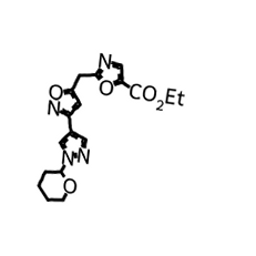 CCOC(=O)c1cnc(Cc2cc(-c3cnn(C4CCCCO4)c3)no2)o1